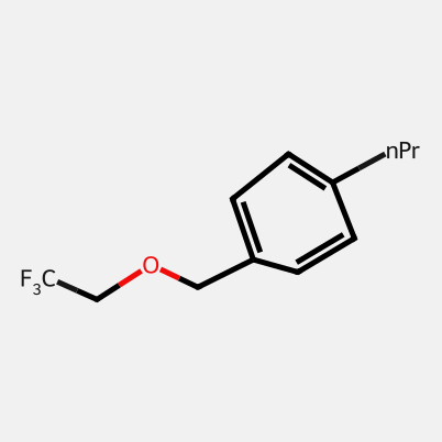 [CH2]CCc1ccc(COCC(F)(F)F)cc1